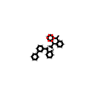 CC12c3ccccc3C(c3nc(-c4cccc(-c5ccccc5)c4)c4ccccc4n3)(c3ccccc31)c1ccccc12